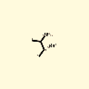 [BH3-]C(C)CC.[Na+]